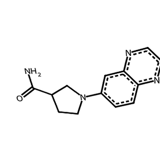 NC(=O)C1CCN(c2ccc3nccnc3c2)C1